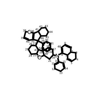 C1=CC2CCC=CC2C(N(C2=CCCC=C2)C2CCC3C(C2)OC2CCCC(C4(c5ccccc5)C5=C(CCC=C5)C5CCCCC54)C23)=C1